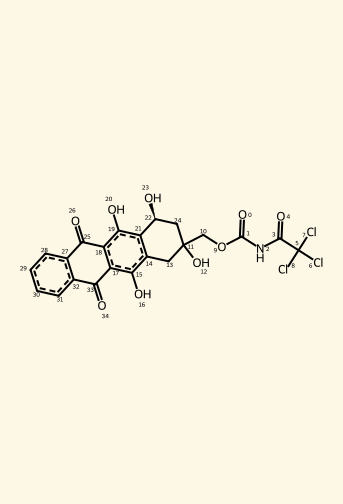 O=C(NC(=O)C(Cl)(Cl)Cl)OCC1(O)Cc2c(O)c3c(c(O)c2[C@@H](O)C1)C(=O)c1ccccc1C3=O